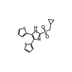 O=S(=O)(CC1CC1)c1nc(-c2cccs2)c(-c2cccs2)[nH]1